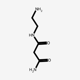 NCCNC(=O)CC(N)=O